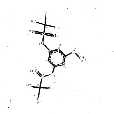 C=S(Oc1cc(OS(=O)(=O)C(F)(F)F)nc(OC)n1)C(F)(F)F